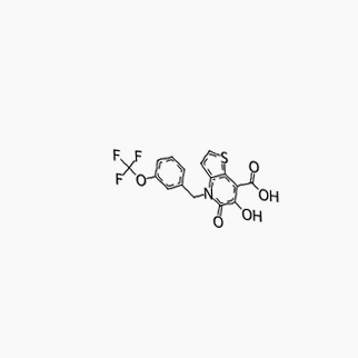 O=C(O)c1c(O)c(=O)n(Cc2cccc(OC(F)(F)F)c2)c2ccsc12